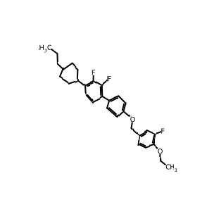 CCCC1CCC(c2ccc(-c3ccc(OCc4ccc(OCC)c(F)c4)cc3)c(F)c2F)CC1